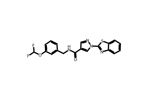 O=C(NCc1cccc(OC(F)F)c1)c1cnn(-c2nc3ccccc3s2)c1